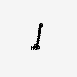 O=CCCCCCCCCCCCCCCCS(=O)(=O)O